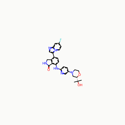 CC(C)(O)[C@@H]1CN(c2ccc(Nc3ccc(-c4cnc5cc(F)ccn45)c4c3C(=O)NC4)nc2)CCO1